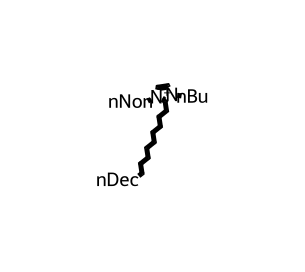 CCCCCCCCCCCCCCCCCCCc1n(CCCC)cc[n+]1CCCCCCCCC